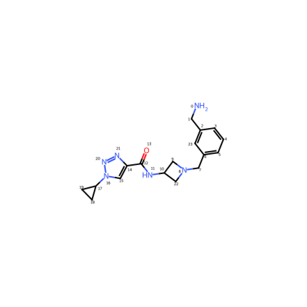 NCc1cccc(CN2CC(NC(=O)c3cn(C4CC4)nn3)C2)c1